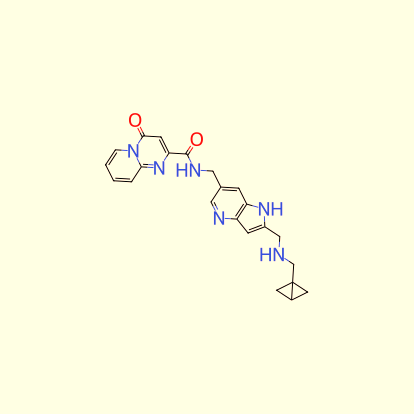 O=C(NCc1cnc2cc(CNCC34CC3C4)[nH]c2c1)c1cc(=O)n2ccccc2n1